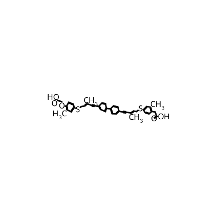 CC(C#Cc1ccc(-c2ccc(C#CC(C)=CCSc3ccc(OCC(=O)O)c(C)c3)cc2)cc1)=CCSc1ccc(CC(=O)O)c(C)c1